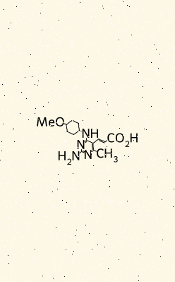 CO[C@H]1CC[C@H](Nc2nc(N)nc(C)c2C=CC(=O)O)CC1